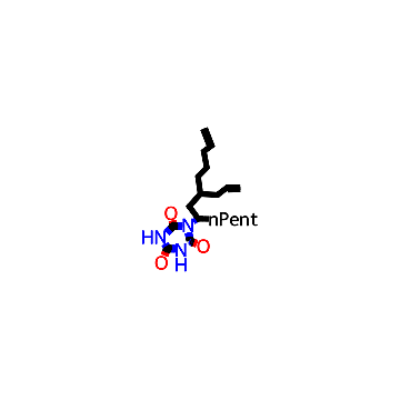 C=CCCCC(CC=C)CC(CCCCC)n1c(=O)[nH]c(=O)[nH]c1=O